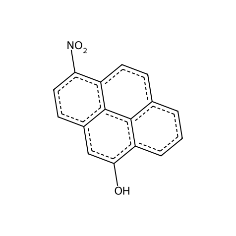 O=[N+]([O-])c1ccc2cc(O)c3cccc4ccc1c2c43